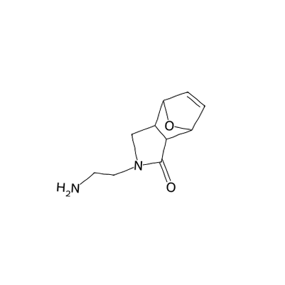 NCCN1CC2C3C=CC(O3)C2C1=O